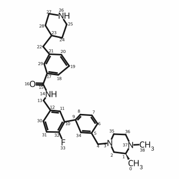 C[C@H]1CN(Cc2cccc(-c3cc(CNC(=O)c4cccc(CC5CCNCC5)c4)ccc3F)c2)CCN1C